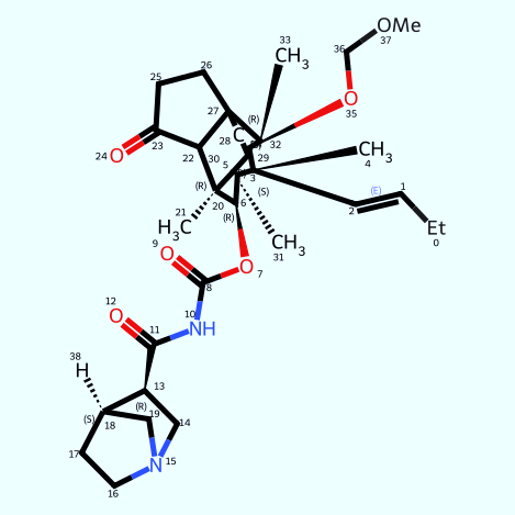 CC/C=C/[C@]1(C)C[C@@H](OC(=O)NC(=O)[C@H]2CN3CC[C@@H]2C3)[C@@]2(C)C3C(=O)CCC3(CC[C@H]2C)[C@@H](C)[C@@H]1OCOC